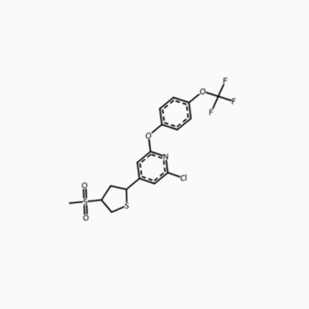 CS(=O)(=O)C1CSC(c2cc(Cl)nc(Oc3ccc(OC(F)(F)F)cc3)c2)C1